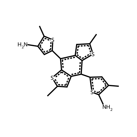 Cc1cc2c(-c3cc(C)c(N)s3)c3sc(C)cc3c(-c3cc(N)c(C)s3)c2s1